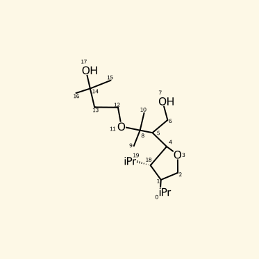 CC(C)C1COC(C(CO)C(C)(C)OCCC(C)(C)O)[C@H]1C(C)C